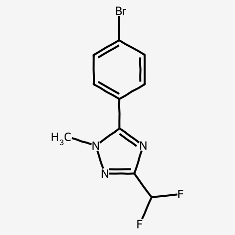 Cn1nc(C(F)F)nc1-c1ccc(Br)cc1